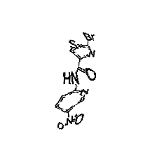 O=C(Nc1ccc([N+](=O)[O-])cn1)c1csc(Br)n1